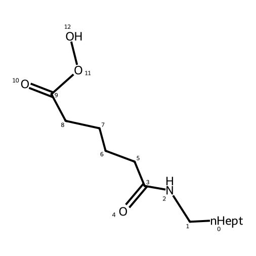 CCCCCCCCNC(=O)CCCCC(=O)OO